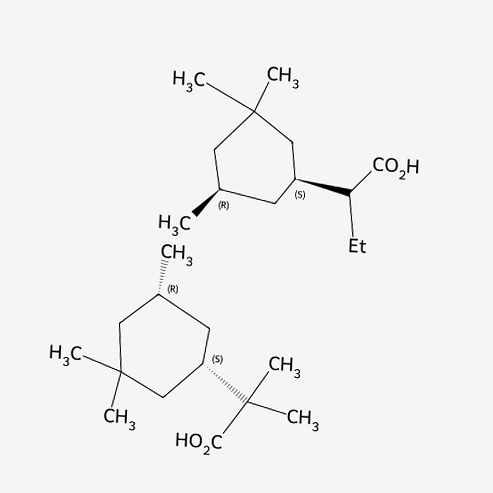 CCC(C(=O)O)[C@H]1C[C@@H](C)CC(C)(C)C1.C[C@@H]1C[C@H](C(C)(C)C(=O)O)CC(C)(C)C1